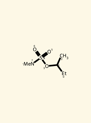 CCC(C)OS(=O)(=O)[N]C